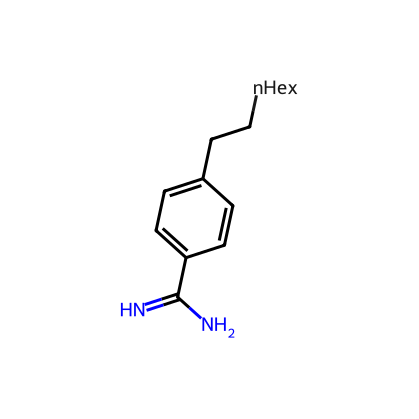 CCCCCCCCc1ccc(C(=N)N)cc1